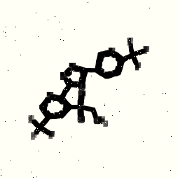 CCS(=O)(=O)c1cc(C(F)(F)F)cnc1-c1nnc(-c2ccc(C(F)(F)F)nc2)o1